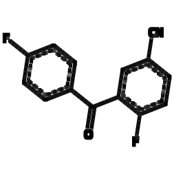 N#Cc1ccc(F)c(C(=O)c2ccc(F)cc2)c1